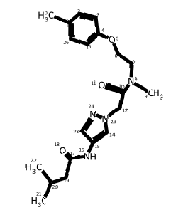 Cc1ccc(OCCN(C)C(=O)Cn2cc(NC(=O)CC(C)C)cn2)cc1